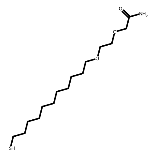 NC(=O)COCCOCCCCCCCCCCCS